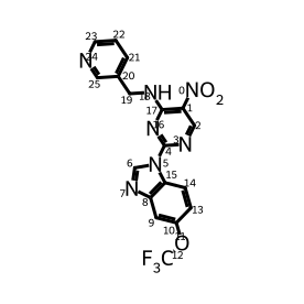 O=[N+]([O-])c1cnc(-n2cnc3cc(OC(F)(F)F)ccc32)nc1NCc1cccnc1